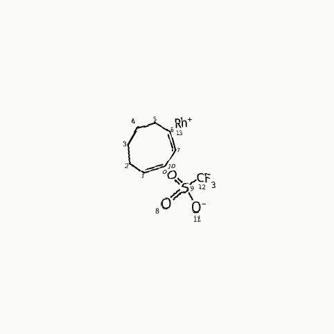 C1=CCCCCC=C1.O=S(=O)([O-])C(F)(F)F.[Rh+]